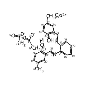 CC(=O)[O-].CC(=O)[O-].Cc1ccc(O)c(C=Nc2ccccc2N=Cc2cc(C)ccc2O)c1.[Co+2]